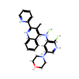 Cc1c(-c2ccccn2)nc2ccccc2c1N(F)c1cc(N2CCOCC2)cnc1F